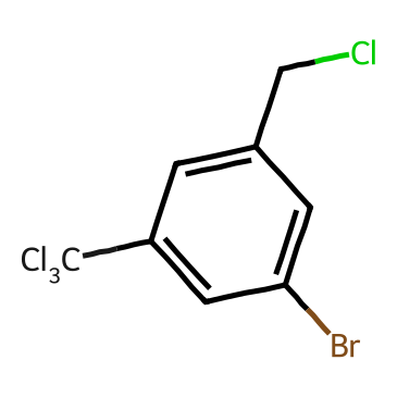 ClCc1cc(Br)cc(C(Cl)(Cl)Cl)c1